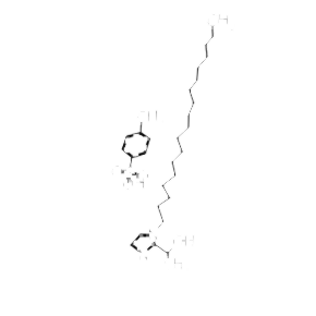 CCCCCCCCCCCCCCCCCCn1ccnc1C(C)O.Cc1ccc(S(=O)(=O)O)cc1